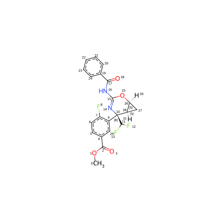 COC(=O)c1ccc(F)c([C@]2(C(F)F)N=C(NC(=O)c3ccccc3)O[C@H]3C[C@H]32)c1